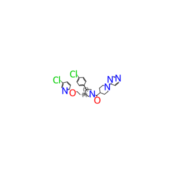 O=C(C1CCN(c2ccncn2)CC1)N1C[C@H](CCOc2ccc(Cl)cn2)[C@@H](c2ccc(Cl)cc2)C1